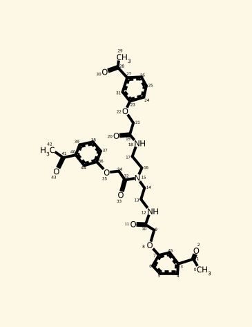 CC(=O)c1cccc(OCC(=O)NCCN(CCNC(=O)COc2cccc(C(C)=O)c2)C(=O)COc2cccc(C(C)=O)c2)c1